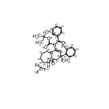 CC(C)(C)OC(=O)N(C(=O)c1ccccc1)C1=N[C@](C)(c2ccccc2F)C[SH]2(=O)N[C@H](C(F)(F)F)CCCN12